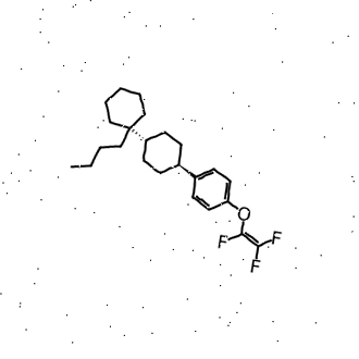 CCCCC1([C@H]2CC[C@H](c3ccc(OC(F)=C(F)F)cc3)CC2)CCCCC1